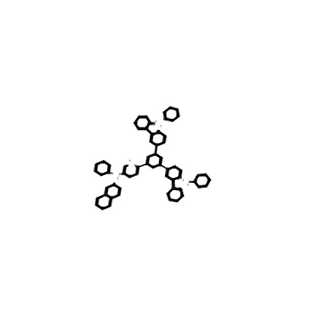 c1ccc(N(c2ccc(-c3cc(-c4ccc5c(c4)c4ccccc4n5-c4ccccc4)cc(-c4ccc5c(c4)c4ccccc4n5-c4ccccc4)c3)nc2)c2ccc3ccccc3c2)cc1